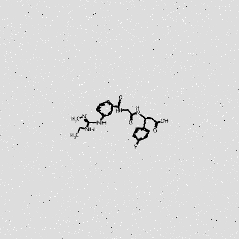 CCNC(=NC)Nc1cccc(C(=O)NCC(=O)NC(CC(=O)O)c2ccc(F)cc2)c1